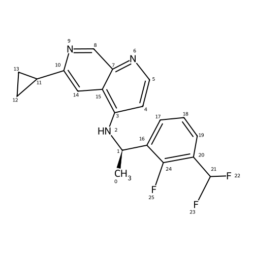 C[C@@H](Nc1ccnc2cnc(C3CC3)cc12)c1cccc(C(F)F)c1F